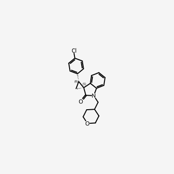 O=C1N(CC2CCOCC2)c2ccccc2[C@@]12C[C@@H]2c1ccc(Cl)cc1